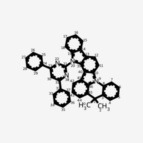 CC1(C)c2ccccc2-n2c3ccc4c5ccccc5n(-c5nc(-c6ccccc6)cc(-c6ccccc6)n5)c4c3c3cccc1c32